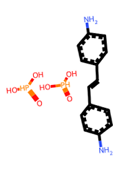 Nc1ccc(/C=C/c2ccc(N)cc2)cc1.O=[PH](O)O.O=[PH](O)O